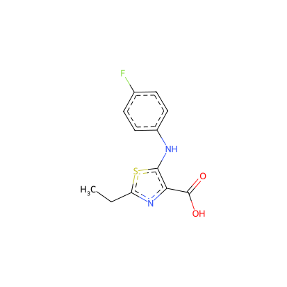 CCc1nc(C(=O)O)c(Nc2ccc(F)cc2)s1